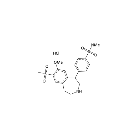 CNS(=O)(=O)c1ccc(C2CNCCc3cc(S(C)(=O)=O)c(OC)cc32)cc1.Cl